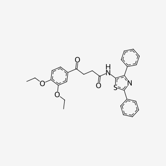 CCOc1ccc(C(=O)CCC(=O)Nc2sc(-c3ccccc3)nc2-c2ccccc2)cc1OCC